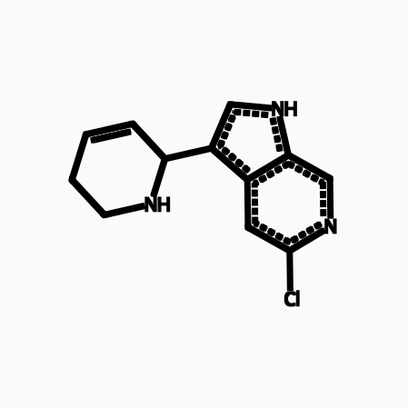 Clc1cc2c(C3C=CCCN3)c[nH]c2cn1